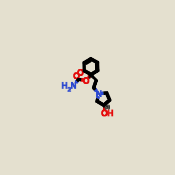 NC(=O)O[C@@]1(CCN2CC[C@H](O)C2)C=CC=CC1=O